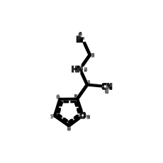 N#CC(NCBr)c1ccco1